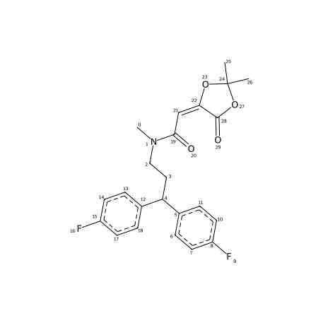 CN(CCC(c1ccc(F)cc1)c1ccc(F)cc1)C(=O)C=C1OC(C)(C)OC1=O